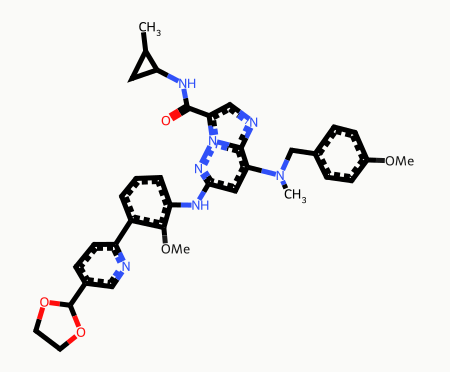 COc1ccc(CN(C)c2cc(Nc3cccc(-c4ccc(C5OCCO5)cn4)c3OC)nn3c(C(=O)NC4CC4C)cnc23)cc1